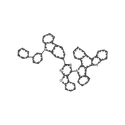 c1ccc(-c2cccc(-n3c4ccccc4c4ccc(-c5nc(-n6c7ccccc7c7c8sc9ccccc9c8c8ccccc8c76)c6c(n5)oc5ccccc56)cc43)c2)cc1